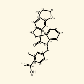 Cc1cc(CN2C(=O)C3(COc4cc5c(cc43)OCCO5)c3ccccc32)ccc1C(=O)O